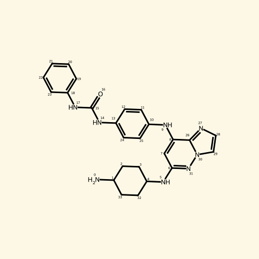 NC1CCC(Nc2cc(Nc3ccc(NC(=O)Nc4ccccc4)cc3)c3nccn3n2)CC1